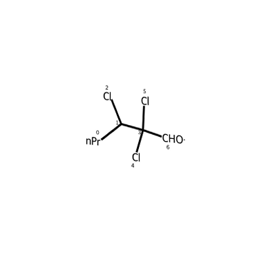 CCCC(Cl)C(Cl)(Cl)[C]=O